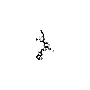 N#CCN/C=C(\C=N)c1cnc(N)c(NCc2cc3[nH]ncc3s2)n1